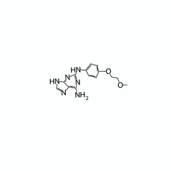 COCCOc1ccc(Nc2nc(N)c3nc[nH]c3n2)cc1